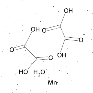 O.O=C(O)C(=O)O.O=C(O)C(=O)O.[Mn]